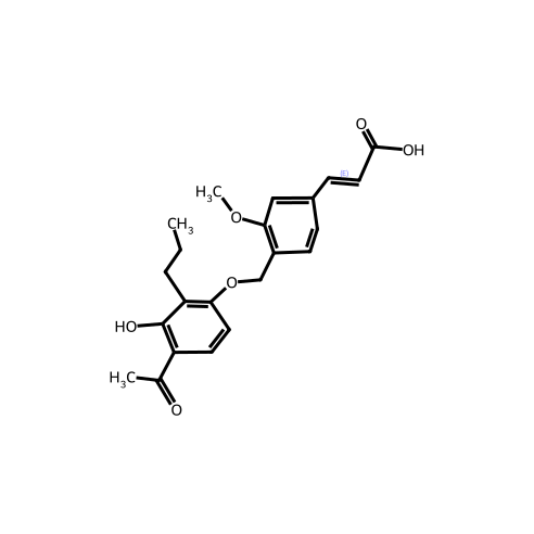 CCCc1c(OCc2ccc(/C=C/C(=O)O)cc2OC)ccc(C(C)=O)c1O